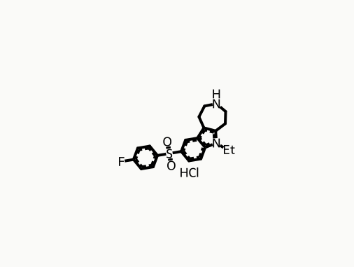 CCn1c2c(c3cc(S(=O)(=O)c4ccc(F)cc4)ccc31)CCNCC2.Cl